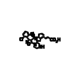 C[C@@H]1CNCCN1c1onc(-c2c(Cl)cccc2Cl)c1C(=O)n1ccc2c(/C=C/C(=O)O)cccc21